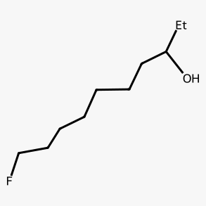 CCC(O)CCCCCCCF